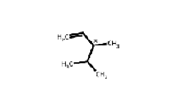 C=C[C@@H](C)C(C)C